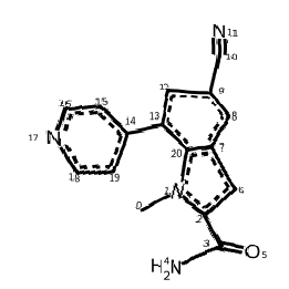 Cn1c(C(N)=O)cc2cc(C#N)cc(-c3ccncc3)c21